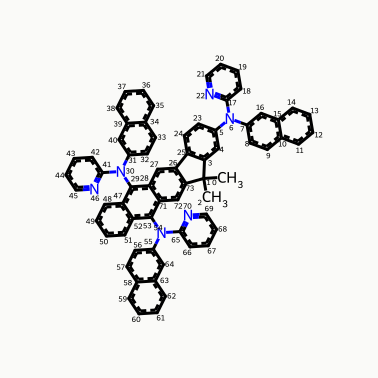 CC1(C)c2cc(N(c3ccc4ccccc4c3)c3ccccn3)ccc2-c2cc3c(N(c4ccc5ccccc5c4)c4ccccn4)c4ccccc4c(N(c4ccc5ccccc5c4)c4ccccn4)c3cc21